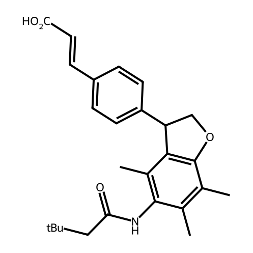 Cc1c(C)c2c(c(C)c1NC(=O)CC(C)(C)C)C(c1ccc(C=CC(=O)O)cc1)CO2